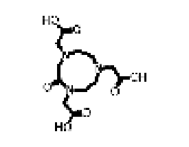 O=C(O)CN1CCN(CC(=O)O)CC(=O)N(CC(=O)O)CC1